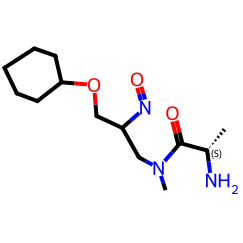 C[C@H](N)C(=O)N(C)CC(COC1CCCCC1)N=O